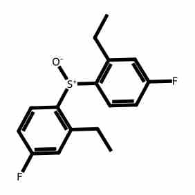 CCc1cc(F)ccc1[S+]([O-])c1ccc(F)cc1CC